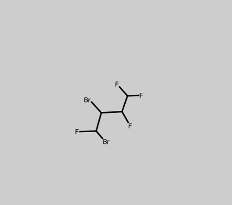 FC(F)C(F)C(Br)C(F)Br